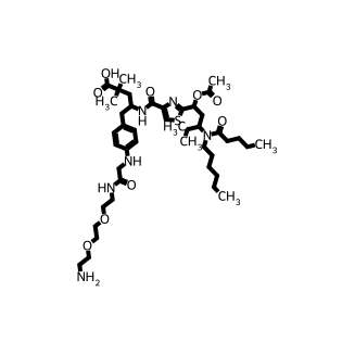 CCCCCCN(C(=O)CCCC)C(CC(OC(C)=O)c1nc(C(=O)NC(Cc2ccc(NCC(=O)NCCOCCOCCN)cc2)CC(C)(C)C(=O)O)cs1)C(C)C